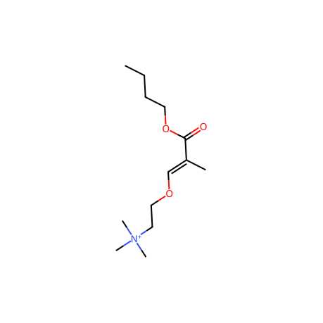 CCCCOC(=O)C(C)=COCC[N+](C)(C)C